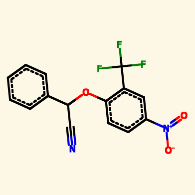 N#CC(Oc1ccc([N+](=O)[O-])cc1C(F)(F)F)c1ccccc1